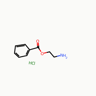 Cl.NCCOC(=O)c1ccccc1